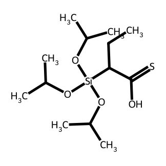 CCC(C(O)=S)[Si](OC(C)C)(OC(C)C)OC(C)C